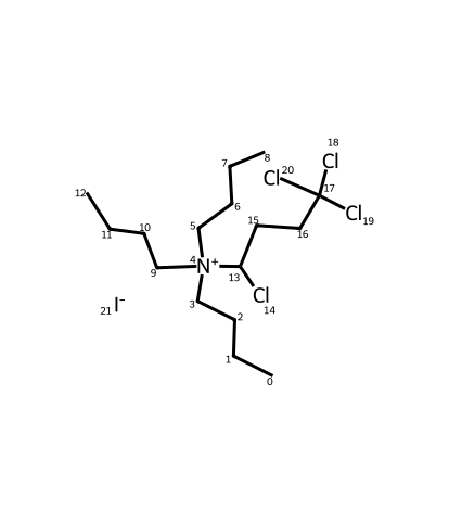 CCCC[N+](CCCC)(CCCC)C(Cl)CCC(Cl)(Cl)Cl.[I-]